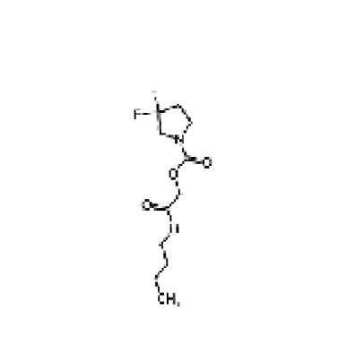 CCCCOC(=O)COC(=O)N1CCC(F)(F)C1